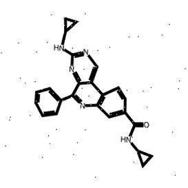 O=C(NC1CC1)c1ccc2c(c1)nc(-c1ccccc1)c1nc(NC3CC3)ncc12